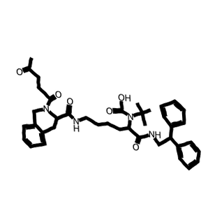 CC(=O)CCC(=O)N1Cc2ccccc2CC1C(=O)NCCCCC(C(=O)NCC(c1ccccc1)c1ccccc1)N(C(=O)O)C(C)(C)C